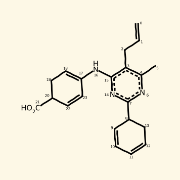 C=CCc1c(C)nc(C2C=CC=CC2)nc1NC1=CCC(C(=O)O)C=C1